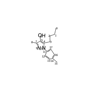 CCCCc1c(O)c(C)nn1-c1ccc(C)cc1